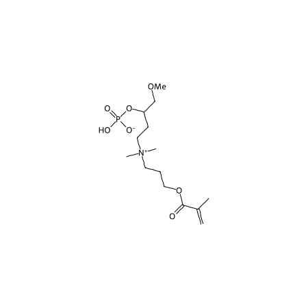 C=C(C)C(=O)OCCC[N+](C)(C)CCC(COC)OP(=O)([O-])O